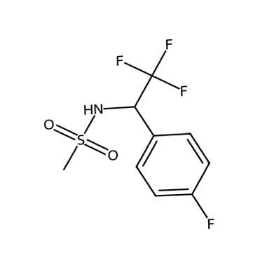 CS(=O)(=O)NC(c1ccc(F)cc1)C(F)(F)F